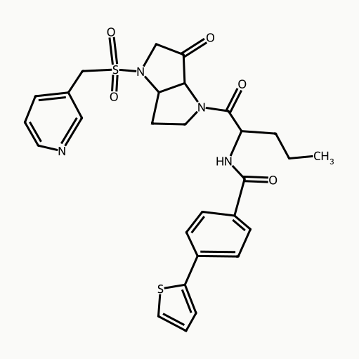 CCCC(NC(=O)c1ccc(-c2cccs2)cc1)C(=O)N1CCC2C1C(=O)CN2S(=O)(=O)Cc1cccnc1